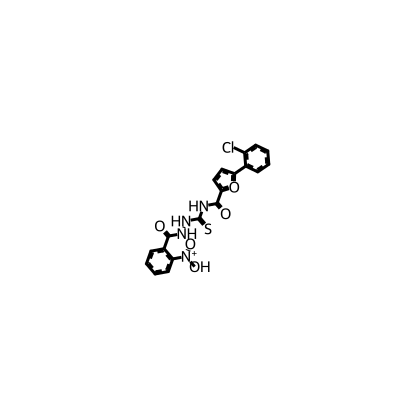 O=C(NC(=S)NNC(=O)c1ccccc1[N+](=O)O)c1ccc(-c2ccccc2Cl)o1